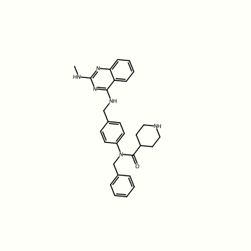 CNc1nc(NCc2ccc(N(Cc3ccccc3)C(=O)C3CCNCC3)cc2)c2ccccc2n1